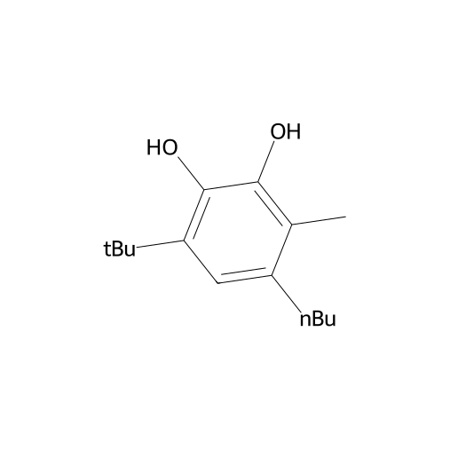 CCCCc1cc(C(C)(C)C)c(O)c(O)c1C